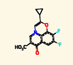 O=C(O)c1cn2c3c(c(F)c(F)cc3c1=O)OC(C1CC1)=C2